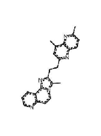 Cc1ccc2nc(CCc3nc4c5cccnc5ccn4c3C)cc(C)c2n1